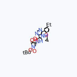 CCc1ccc(OCC2CC2)c(-c2ncnc3c(C(=O)N[C@@H]4CN(C(=O)OC(C)(C)C)C[C@H]4O)c(C)[nH]c23)c1